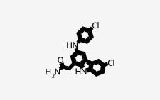 NC(=O)Cc1cc(Nc2ccc(Cl)cc2)cc2c1[nH]c1ccc(Cl)cc12